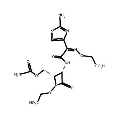 NC(=O)OC[C@@H]1[C@H](NC(=O)/C(=N\OCC(=O)O)c2csc(N)n2)C(=O)N1OCC(=O)O